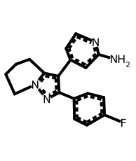 Nc1cc(-c2c(-c3ccc(F)cc3)nn3c2CCCC3)ccn1